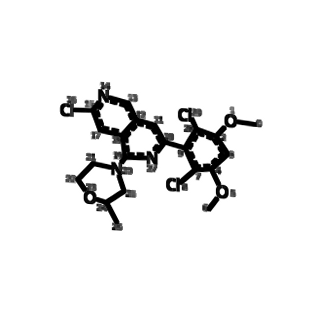 COc1cc(OC)c(Cl)c(-c2cc3cnc(Cl)cc3c(N3CCOC(C)C3)n2)c1Cl